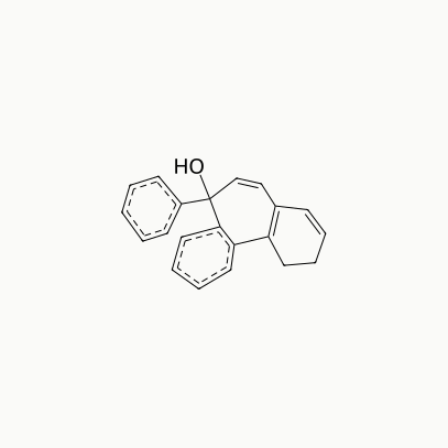 OC1(c2ccccc2)C=CC2=C(CCC=C2)c2ccccc21